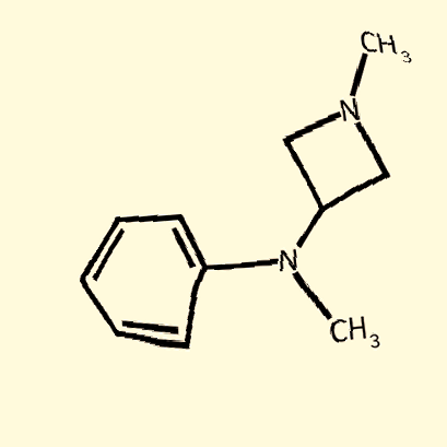 CN1CC(N(C)c2ccccc2)C1